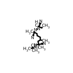 CCC(C)(C#N)N=NC(C)(C#N)CCCC(C)CC(C)(C#N)N=NC(C)(C)C